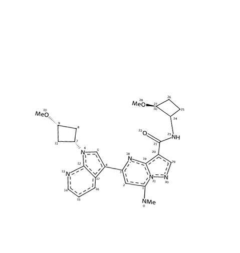 CNc1cc(-c2cn([C@H]3C[C@@H](OC)C3)c3ncccc23)nc2c(C(=O)NC3CC[C@@H]3OC)cnn12